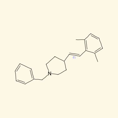 Cc1cccc(C)c1/C=C/C1CCN(Cc2ccccc2)CC1